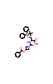 COC(=O)C(CO[Si](c1ccccc1)(c1ccccc1)C(C)(C)C)NC(=S)N1CC(OC(=O)c2ccccc2)C1